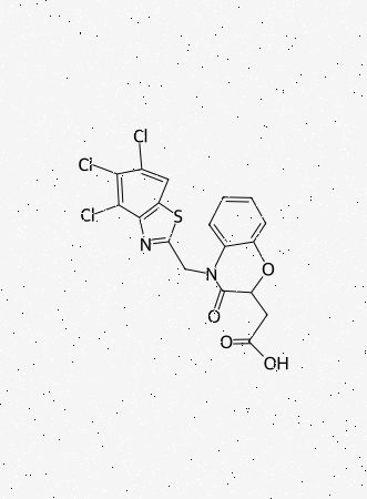 O=C(O)CC1Oc2ccccc2N(Cc2nc3c(Cl)c(Cl)c(Cl)cc3s2)C1=O